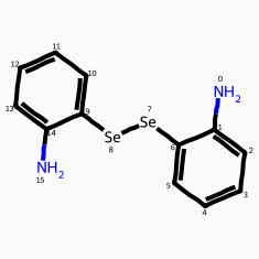 Nc1ccccc1[Se][Se]c1ccccc1N